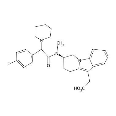 CN(C(=O)C(c1ccc(F)cc1)N1CCCCC1)[C@@H]1CCc2c(CC(=O)O)c3ccccc3n2C1